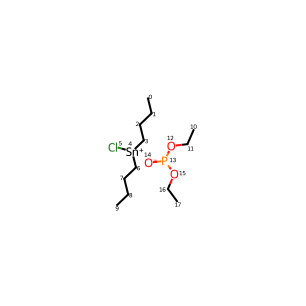 CCC[CH2][Sn+]([Cl])[CH2]CCC.CCOP([O-])OCC